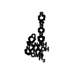 COc1cccnc1-c1nc(C(N)O)c(Nc2ccc(N3CCC(N4CC5(CCN(C)CC5)C4)CC3)cc2)nc1N1CCC12CCOCC2